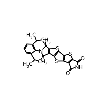 CC(C)c1cccc(C(C)C)c1-n1c(=O)c2sc3c4sc5c(=O)[nH]c(=O)c5c4sc3c2c1=O